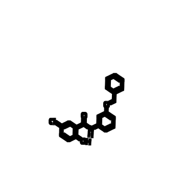 O=C(Nc1cccc(OCc2ccccc2)c1)c1cc(Cl)ccc1O